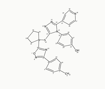 Cc1ccc(-c2noc(C3(Sc4nnc(-c5ccncc5)n4-c4ccc(O)cc4)CCCC3)n2)cc1